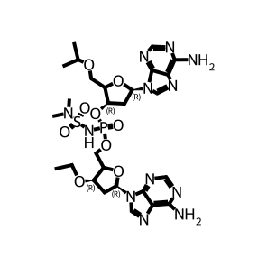 CCO[C@@H]1C[C@H](n2cnc3c(N)ncnc32)OC1COP(=O)(NS(=O)(=O)N(C)C)O[C@@H]1C[C@H](n2cnc3c(N)ncnc32)OC1COC(C)C